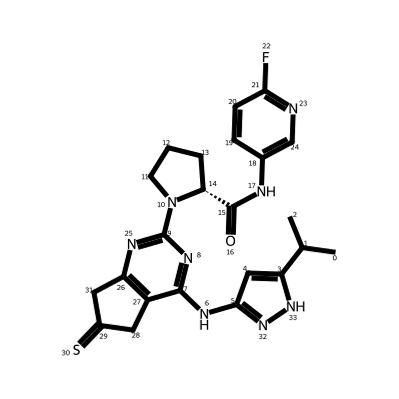 CC(C)c1cc(Nc2nc(N3CCC[C@@H]3C(=O)Nc3ccc(F)nc3)nc3c2CC(=S)C3)n[nH]1